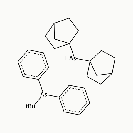 C1CC2([AsH]C34CCC(CC3)C4)CCC1C2.CC(C)(C)[As](c1ccccc1)c1ccccc1